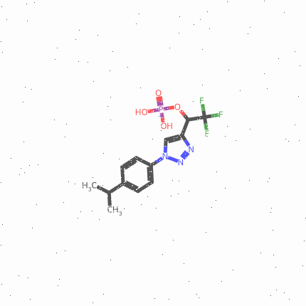 CC(C)c1ccc(-n2cc(C(OP(=O)(O)O)C(F)(F)F)nn2)cc1